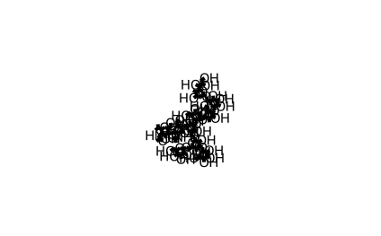 CC(=O)NC1C(OC2C(CO)OC(C(C)C)C(NC(C)=O)C2O)OC(CO)C(OC2OC(COC3OC(COC4OC(CO)C(O)C(O)C4O)C(O)C(OC4OC(CO)C(O)C(O)C4O)C3O)C(O)C(OC3OC(CO)C(O)C(O)C3OC3OC(CO)C(OC4OC(COC5CC(O)C(C)C(C(O)C(O)CO)O5)C(O)C(O)C4O)C(O)C3C)C2O)C1O